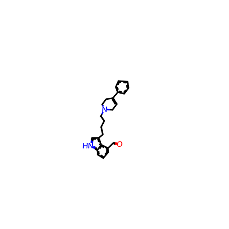 O=Cc1cccc2[nH]cc(CCCCN3CC=C(c4ccccc4)CC3)c12